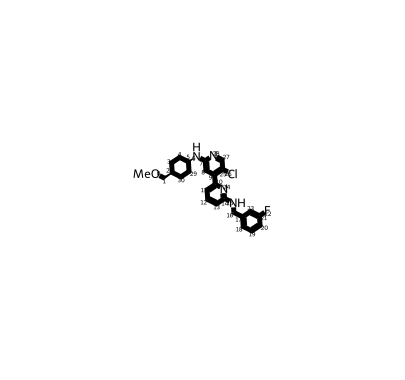 COC[C@H]1CC[C@H](Nc2cc(-c3cccc(NCc4cccc(F)c4)n3)c(Cl)cn2)CC1